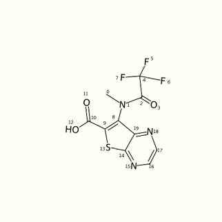 CN(C(=O)C(F)(F)F)c1c(C(=O)O)sc2nccnc12